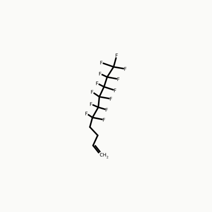 C=CCCC(F)(F)C(F)(F)C(F)(F)C(F)(F)C(F)(F)C(F)(F)F